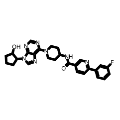 O=C(NC1CCN(c2ncnc3c2ncn3C2CCCC2O)CC1)c1ccc(-c2cccc(F)c2)nc1